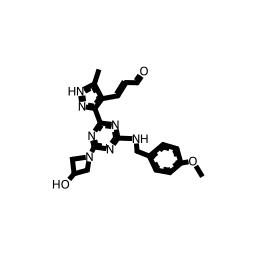 COc1ccc(CNc2nc(-c3n[nH]c(C)c3/C=C/C=O)nc(N3CC(O)C3)n2)cc1